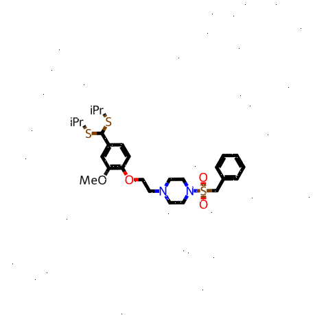 COc1cc(C(SC(C)C)SC(C)C)ccc1OCCN1CCN(S(=O)(=O)Cc2ccccc2)CC1